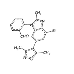 Cc1noc(C)c1-c1cc(Br)c2nc(C)n(-c3ccccc3C=O)c2c1